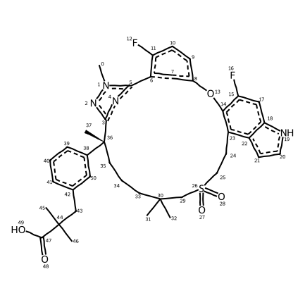 Cn1nc2nc1-c1cc(ccc1F)Oc1c(F)cc3[nH]ccc3c1CCS(=O)(=O)CC(C)(C)CCC[C@]2(C)c1cccc(CC(C)(C)C(=O)O)c1